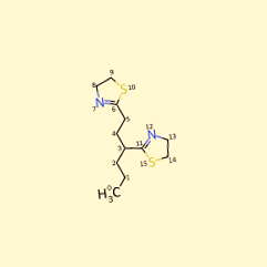 CCCC(CCC1=NCCS1)C1=NCCS1